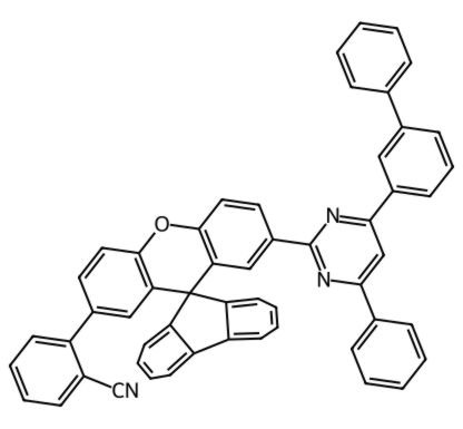 N#Cc1ccccc1-c1ccc2c(c1)C1(c3cc(-c4nc(-c5ccccc5)cc(-c5cccc(-c6ccccc6)c5)n4)ccc3O2)c2ccccc2-c2ccccc21